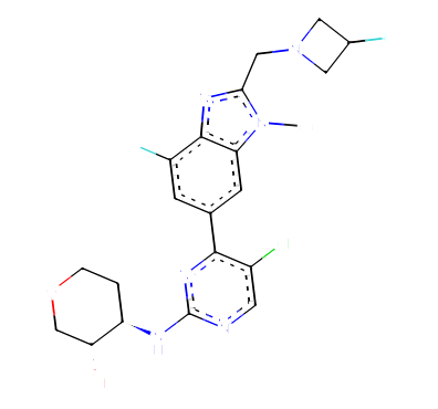 CC(C)n1c(CN2CC(F)C2)nc2c(F)cc(-c3nc(N[C@@H]4CCOC[C@H]4O)ncc3Cl)cc21